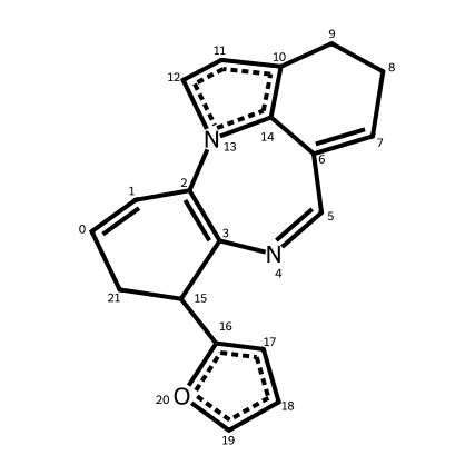 C1=CC2=C(N=CC3=CCCc4ccn2c43)C(c2ccco2)C1